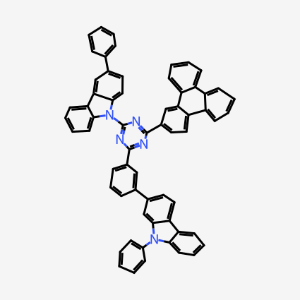 c1ccc(-c2ccc3c(c2)c2ccccc2n3-c2nc(-c3cccc(-c4ccc5c6ccccc6n(-c6ccccc6)c5c4)c3)nc(-c3ccc4c5ccccc5c5ccccc5c4c3)n2)cc1